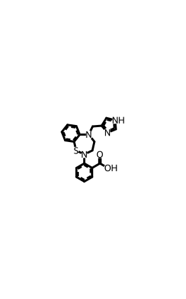 O=C(O)c1ccccc1N1CCN(Cc2c[nH]cn2)c2ccccc2S1